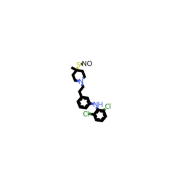 CC1(SN=O)CCN(CCc2cccc(Nc3c(Cl)cccc3Cl)c2)CC1